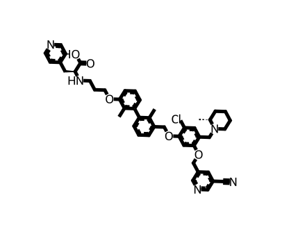 Cc1c(COc2cc(OCc3cncc(C#N)c3)c(CN3CCCC[C@H]3C)cc2Cl)cccc1-c1cccc(OCCCN[C@@H](Cc2ccncc2)C(=O)O)c1C